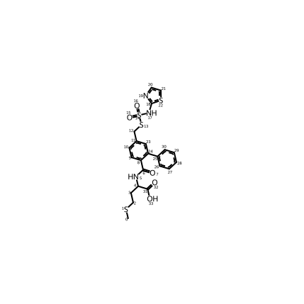 CSCCC(NC(=O)c1ccc(CSS(=O)(=O)Nc2nccs2)cc1-c1ccccc1)C(=O)O